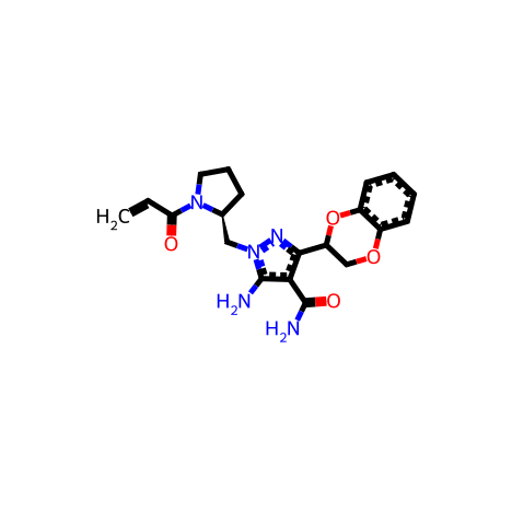 C=CC(=O)N1CCC[C@H]1Cn1nc(C2COc3ccccc3O2)c(C(N)=O)c1N